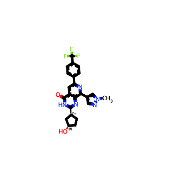 Cn1cc(-c2nc(-c3ccc(C(F)(F)F)cc3)cc3c(=O)[nH]c([C@H]4CC[C@@H](O)C4)nc23)cn1